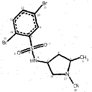 CC1CC(NS(=O)(=O)c2cc(Br)ccc2Br)CN1C#N